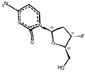 Nc1ccn([C@H]2C[C@H](F)[C@@H](CO)O2)c(=O)n1